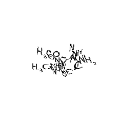 COC(=O)Nc1ccc2c(c1)N[C@@H](C(=O)NCc1cnc(C)cn1)CCCC[C@H](N)c1nc-2c(C#N)[nH]1